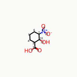 O=C(O)C1CCCC([N+](=O)[O-])C1O